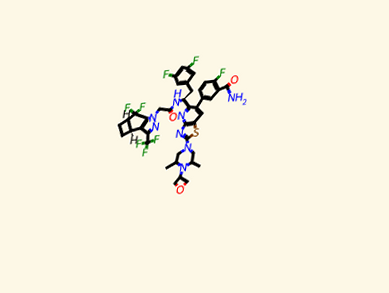 CC1CN(c2nc3nc([C@H](Cc4cc(F)cc(F)c4)NC(=O)Cn4nc(C(F)(F)F)c5c4C(F)(F)[C@@H]4CC[C@H]54)c(-c4ccc(F)c(C(N)=O)c4)cc3s2)CC(C)N1C1COC1